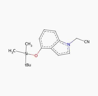 CC(C)(C)[Si](C)(C)Oc1cccc2c1ccn2CC#N